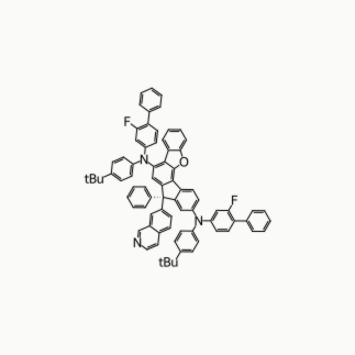 CC(C)(C)c1ccc(N(c2ccc(-c3ccccc3)c(F)c2)c2ccc3c(c2)[C@@](c2ccccc2)(c2ccc4ccncc4c2)c2cc(N(c4ccc(C(C)(C)C)cc4)c4ccc(-c5ccccc5)c(F)c4)c4c(oc5ccccc54)c2-3)cc1